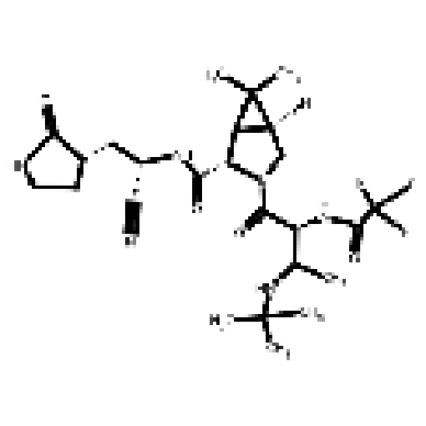 CC(NC(C)(C)C)[C@H](NC(=O)C(F)(F)F)C(=O)N1C[C@H]2C([C@H]1C(=O)N[C@H](C#N)C[C@@H]1CCNC1=O)C2(C)C